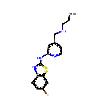 CC(=O)NCCNCc1ccnc(Nc2nc3ccc(Br)cc3s2)c1